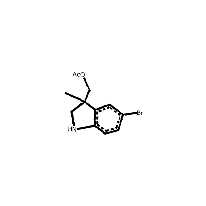 CC(=O)OCC1(C)CNc2ccc(Br)cc21